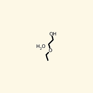 CCOCCO.O